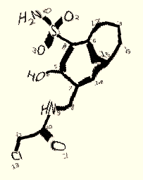 NS(=O)(=O)c1c(O)c(CNC(=O)CCl)cc2c1CCC2